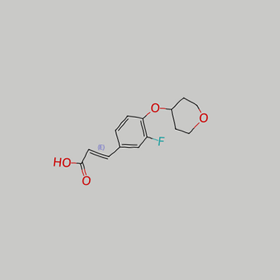 O=C(O)/C=C/c1ccc(OC2CCOCC2)c(F)c1